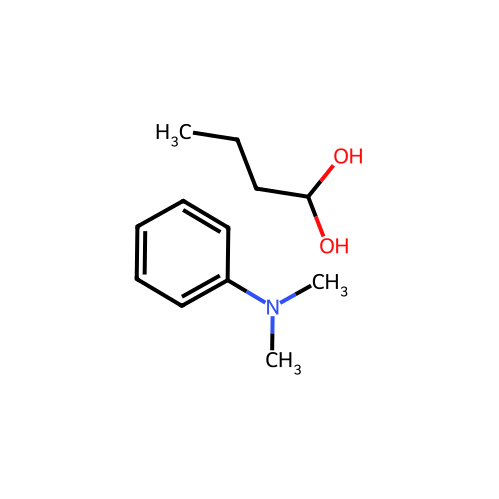 CCCC(O)O.CN(C)c1ccccc1